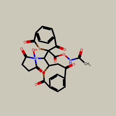 CC(=O)NOC(=O)C1(C(C2CC(=O)c3ccc(cc3)C(=O)S2)[N+]2(O)C(=O)CCC2=O)SC(=O)c2ccc(cc2)C1=O